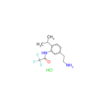 CC(C)c1ccc(CCN)cc1NC(=O)C(F)(F)F.Cl